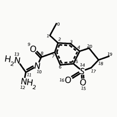 CCc1cc2c(cc1C(=O)N=C(N)N)S(=O)(=O)CC(C)C2